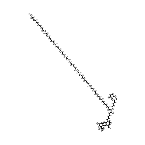 CCC1=CC(C)(C)N(CCCCCC(=O)N(CCCCCC(=O)ON2C(=O)CCC2=O)CCOCCOCCOCCOCCOCCOCCOCCOCCOCCOCCOCCOCCOCCOCCOCCOCCOCCOCCOCCOCCOCCOCCOCCOC)c2cc3oc(=O)cc(C(F)(F)F)c3cc21